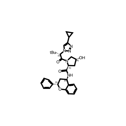 CC(C)(C)[C@@H](C(=O)N1C[C@H](O)C[C@H]1C(=O)N[C@@H]1C[C@@H](c2ccccc2)Oc2ccccc21)n1cc(C2CC2)nn1